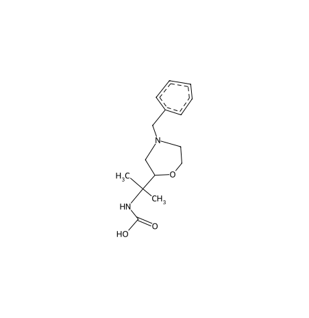 CC(C)(NC(=O)O)C1CN(Cc2ccccc2)CCO1